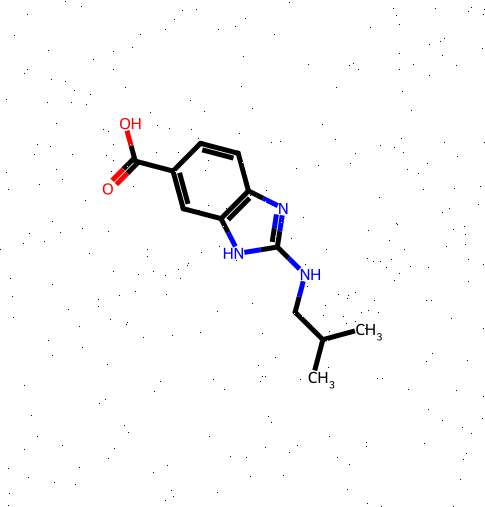 CC(C)CNc1nc2ccc(C(=O)O)cc2[nH]1